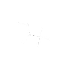 COC(=O)C(C)(C)Cl